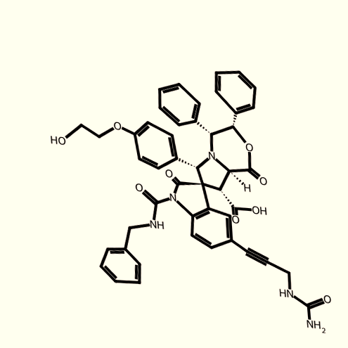 NC(=O)NCC#Cc1ccc2c(c1)[C@]1(C(=O)N2C(=O)NCc2ccccc2)[C@H](c2ccc(OCCO)cc2)N2[C@H](c3ccccc3)[C@H](c3ccccc3)OC(=O)[C@H]2[C@@H]1C(=O)O